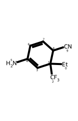 CCC1(C(F)(F)F)C=C(N)C=CC1C#N